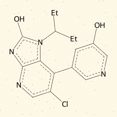 CCC(CC)n1c(O)nc2ncc(Cl)c(-c3cncc(O)c3)c21